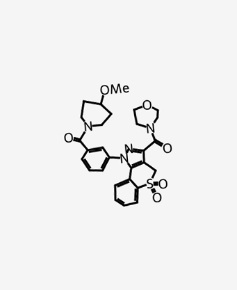 COC1CCN(C(=O)c2cccc(-n3nc(C(=O)N4CCOCC4)c4c3-c3ccccc3S(=O)(=O)C4)c2)CC1